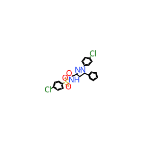 O=C(NS(=O)(=O)c1ccc(Cl)cc1)C1=NN(c2ccc(Cl)cc2)C(c2ccccc2)C1